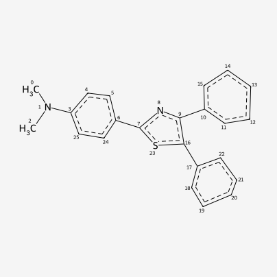 CN(C)c1ccc(-c2nc(-c3ccccc3)c(-c3ccccc3)s2)cc1